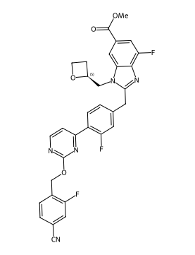 COC(=O)c1cc(F)c2nc(Cc3ccc(-c4ccnc(OCc5ccc(C#N)cc5F)n4)c(F)c3)n(C[C@@H]3CCO3)c2c1